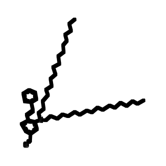 CCCCCCCCCCCCCCCCCCN(CCCCCCCCCCCCCCCCCC)c1cc(C=O)ccc1/C=C/c1ccccc1